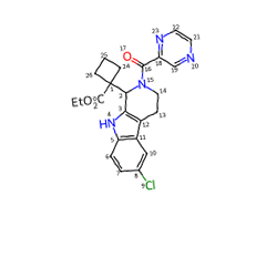 CCOC(=O)C1(C2c3[nH]c4ccc(Cl)cc4c3CCN2C(=O)c2cnccn2)CCC1